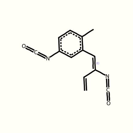 C=C/C(=C\c1cc(N=C=O)ccc1C)N=C=O